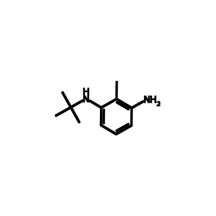 Cc1c(N)cccc1NC(C)(C)C